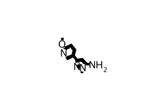 COc1ccc(-c2cc(N)n(C)n2)cn1